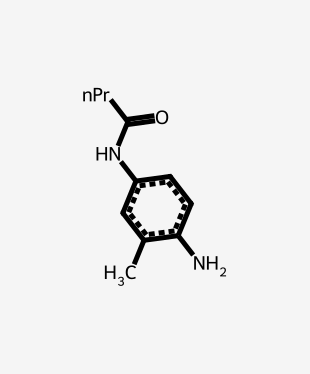 CCCC(=O)Nc1ccc(N)c(C)c1